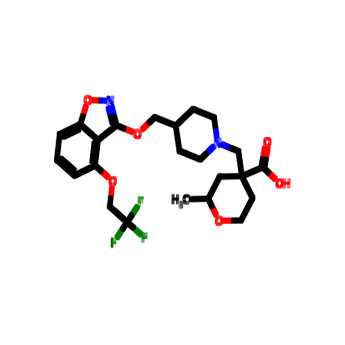 CC1CC(CN2CCC(COc3noc4cccc(OCC(F)(F)F)c34)CC2)(C(=O)O)CCO1